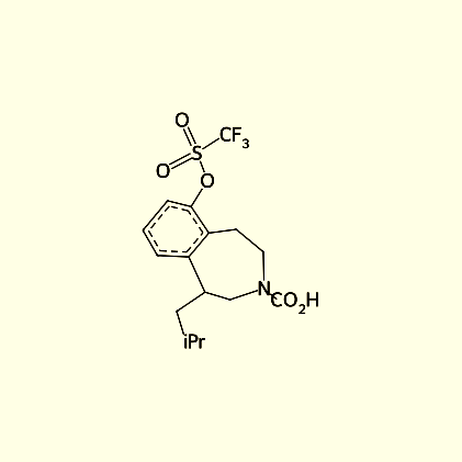 CC(C)CC1CN(C(=O)O)CCc2c(OS(=O)(=O)C(F)(F)F)cccc21